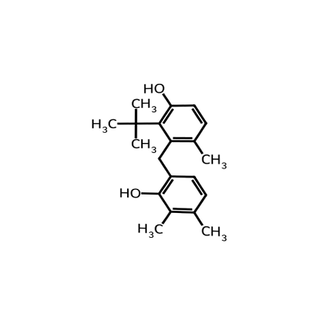 Cc1ccc(Cc2c(C)ccc(O)c2C(C)(C)C)c(O)c1C